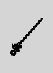 CCCCCCCCCCCCCCCCCCOP(=O)(O)OP(CC)(CC)(CC)c1ccccc1